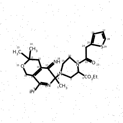 CCOC(=O)C1CN(C2(C)N=C(C(C)C)C3=C(CC(C)(C)OC3)C2=N)CCN1C(=O)Cc1cccs1